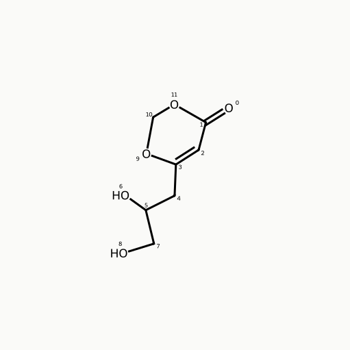 O=C1C=C(CC(O)CO)OCO1